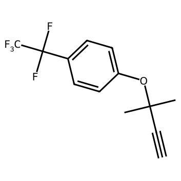 C#CC(C)(C)Oc1ccc(C(F)(F)C(F)(F)F)cc1